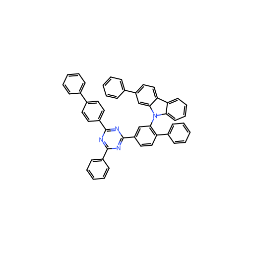 c1ccc(-c2ccc(-c3nc(-c4ccccc4)nc(-c4ccc(-c5ccccc5)c(-n5c6ccccc6c6ccc(-c7ccccc7)cc65)c4)n3)cc2)cc1